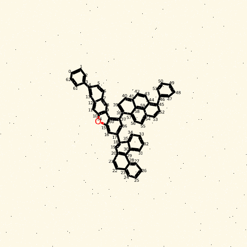 c1ccc(-c2ccc3cc4c(cc3c2)oc2cc(-c3cc5ccc6ccccc6c5c5ccccc35)cc(-c3ccc5ccc6c(-c7ccccc7)ccc7ccc3c5c76)c24)cc1